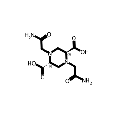 NC(=O)CN1C[C@@H](C(=O)O)N(CC(N)=O)C[C@@H]1C(=O)O